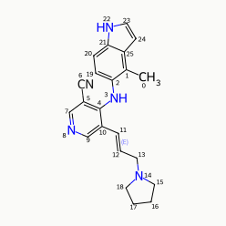 Cc1c(Nc2c(C#N)cncc2/C=C/CN2CCCC2)ccc2[nH]ccc12